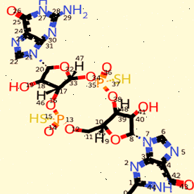 Cc1nc2c(ncn2[C@@H]2O[C@@H]3CO[P@](=O)(S)O[C@@H]4C(O)[C@H](n5cnc6c(=O)[nH]c(N)nc65)O[C@@H]4O[P@](=O)(S)O[C@@H]3C2O)c(=O)[nH]1